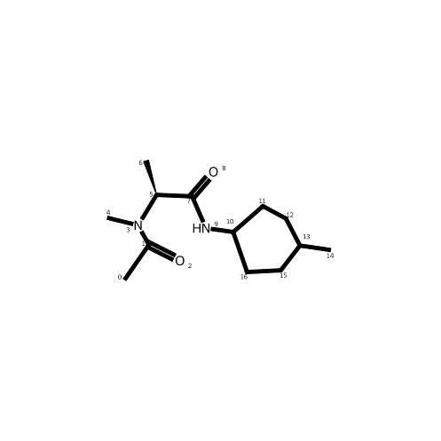 CC(=O)N(C)[C@@H](C)C(=O)NC1CCC(C)CC1